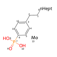 CCCCCCCCCc1ccc(P(=O)(O)O)cc1.[Mo]